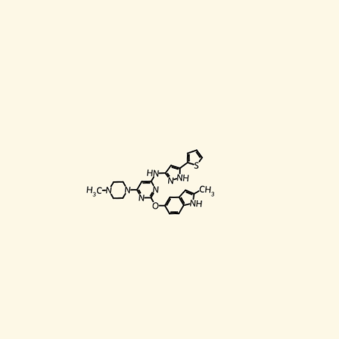 Cc1cc2cc(Oc3nc(Nc4cc(-c5cccs5)[nH]n4)cc(N4CCN(C)CC4)n3)ccc2[nH]1